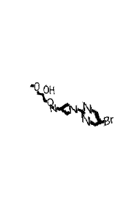 COCC(O)CON=C1CN(c2ncc(Br)cn2)C1